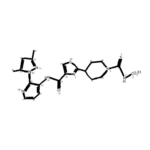 CCOC(=O)NC(=S)N1CCC(c2nc(C(=O)Nc3cccnc3-n3nc(C)cc3C)cs2)CC1